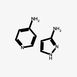 Nc1cc[nH]n1.Nc1ccncc1